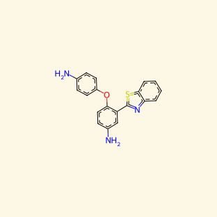 Nc1ccc(Oc2ccc(N)cc2-c2nc3ccccc3s2)cc1